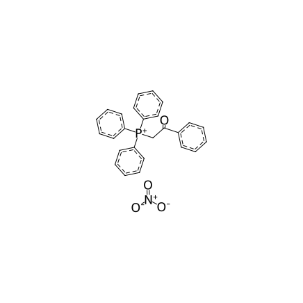 O=C(C[P+](c1ccccc1)(c1ccccc1)c1ccccc1)c1ccccc1.O=[N+]([O-])[O-]